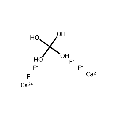 OC(O)(O)O.[Ca+2].[Ca+2].[F-].[F-].[F-].[F-]